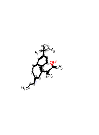 C=C(O)C(=C)C1=c2ccc(C(C)(C)C)cc2=CC/C(=C\CC)C1